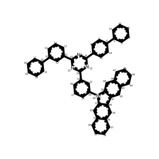 c1ccc(-c2ccc(-c3nc(-c4cccc(-c5ccccc5)c4)nc(-c4cccc(-n5c6cc7ccccc7cc6c6cc7ccccc7cc65)c4)n3)cc2)cc1